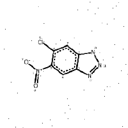 O=[N+]([O-])c1cc2c(cc1Cl)[N]N=N2